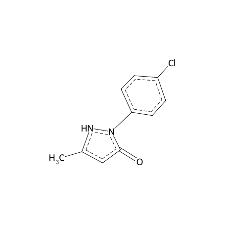 Cc1cc(=O)n(-c2ccc(Cl)cc2)[nH]1